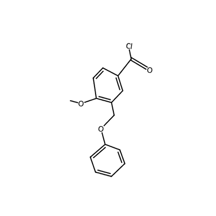 COc1ccc(C(=O)Cl)cc1COc1ccccc1